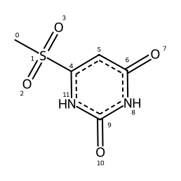 CS(=O)(=O)c1cc(=O)[nH]c(=O)[nH]1